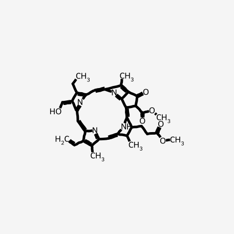 C=CC1=C(C)C2=NC1=CC1=NC(=C(CC)/C1=C/O)C=C1N=C3C(=C1C)C(=O)C(C(=O)OC)C3=C1NC(=C2)C(C)C1CCC(=O)OC